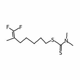 CC(CCCCCSC(=S)N(C)C)=C(F)F